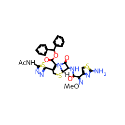 CO/N=C(\C(=O)NC1C(=O)N2C(C(=O)OC(c3ccccc3)c3ccccc3)=C(c3nnc(NC(C)=O)s3)CS[C@H]12)c1csc(N)n1